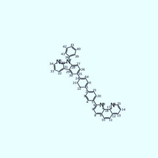 C1=C(c2ccc(-c3ccc4ccc5cccnc5c4n3)cc2)CCC(c2ccc3c(c2)c2cccnc2n3-c2ccccc2)=C1